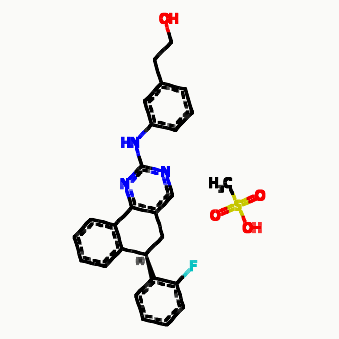 CS(=O)(=O)O.OCCc1cccc(Nc2ncc3c(n2)-c2ccccc2[C@H](c2ccccc2F)C3)c1